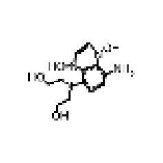 Nc1ccc(N(CCO)CCO)c2c1N(O)C=CN2O